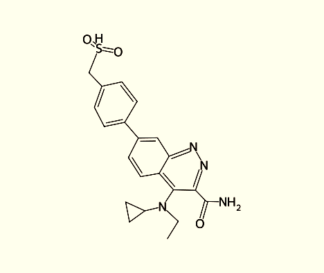 CCN(c1c(C(N)=O)nnc2cc(-c3ccc(C[SH](=O)=O)cc3)ccc12)C1CC1